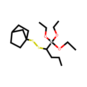 CCCC(SSC12CCC(CC1)C2)[Si](OCC)(OCC)OCC